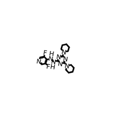 Fc1cncc(F)c1NNc1nc(N2CCCCC2)nc(N2CCCCC2)n1